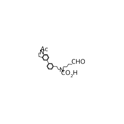 CC(=O)N1CCc2cc(-c3cccc(CCN(CCCCC=O)C(=O)O)c3)ccc21